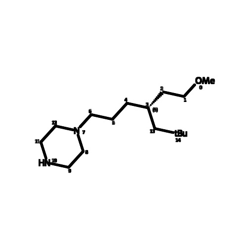 COCC[C@@H](CCCN1CCNCC1)CC(C)(C)C